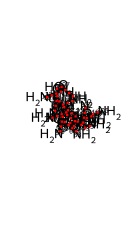 NCCCC[C@H](NC(=O)[C@H](CCCCN)NC(=O)[C@H](CCCCN)NC(=O)[C@H](CCCCN)NC(=O)[C@H](CCCCN)NC(=O)[C@H](CCCCN)NC(=O)[C@H](CCCCN)NC(=O)[C@H](CCCCN)NC(=O)[C@H](CCCCN)NC(=O)[C@H](CCCCN)NC(=O)[C@H](CCCCN)NC(=O)[C@@H](N)CCCCN)C(=O)O